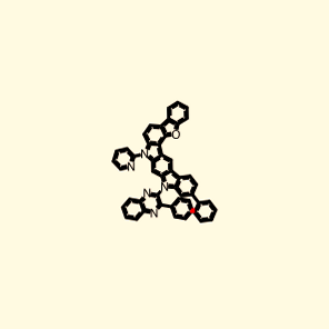 c1ccc(-c2ccc3c4cc5c6c7oc8ccccc8c7ccc6n(-c6ccccn6)c5cc4n(-c4nc5ccccc5nc4-c4ccccc4)c3c2)cc1